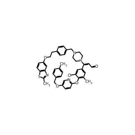 Cc1ccc(COc2ccc(Oc3c(C)cc(/C(=C\C=O)N4CCN(Cc5ccc(CCOc6ccc7sc(C)nc7c6)cc5)CC4)cc3Cl)nc2)cc1